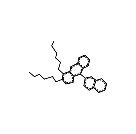 CCCCCCc1ccc2c(-c3ccc4ccccc4c3)c3ccccc3cc2c1CCCCCC